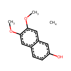 C.COc1cc2ccc(O)cc2cc1OC